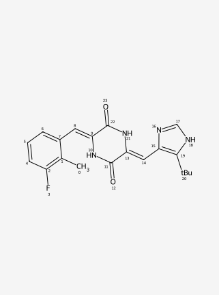 Cc1c(F)cccc1/C=c1\[nH]c(=O)/c(=C/c2nc[nH]c2C(C)(C)C)[nH]c1=O